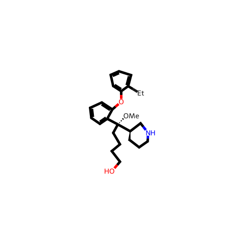 CCc1ccccc1Oc1ccccc1[C@@](CCCCO)(OC)[C@@H]1CCCNC1